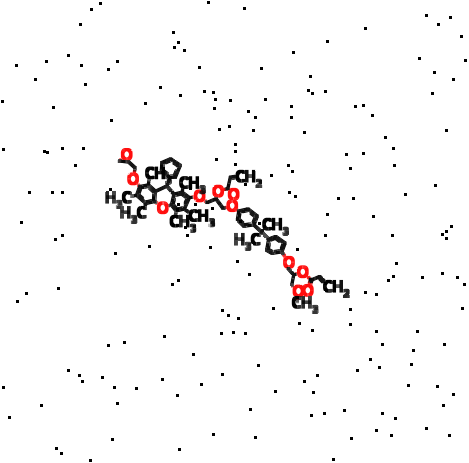 C=CC(=O)OC(COC)COc1ccc(C(C)(C)c2ccc(OCC(COc3c(C)c(C)c4c(c3C)C(c3ccccc3)c3c(C)c(OCC5CO5)c(C)c(C)c3O4)OC(=O)C=C)cc2)cc1